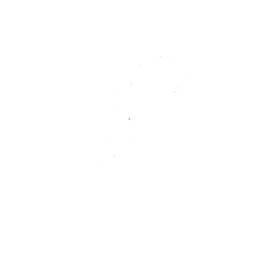 CCc1c(OCC2CCCC2(F)F)ccc2oc(C)c(C(=O)O)c12